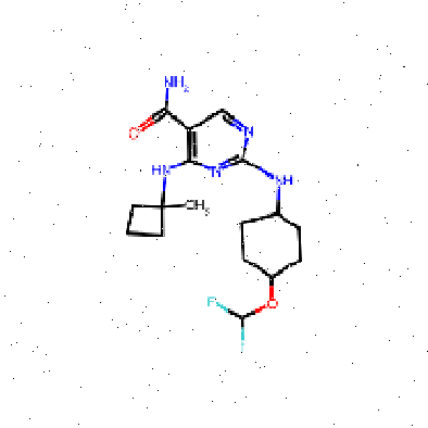 CC1(Nc2nc(NC3CCC(OC(F)F)CC3)ncc2C(N)=O)CCC1